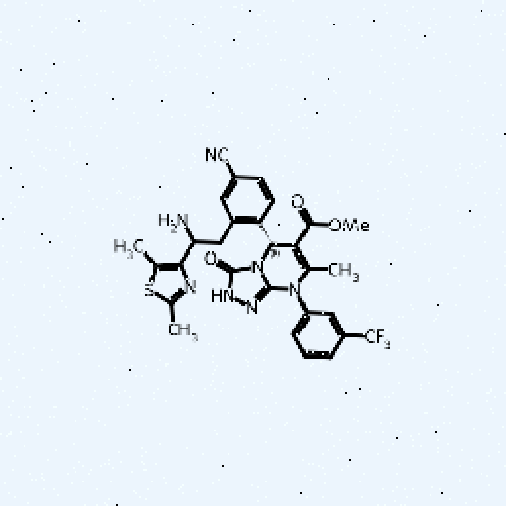 COC(=O)C1=C(C)N(c2cccc(C(F)(F)F)c2)c2n[nH]c(=O)n2[C@@H]1c1ccc(C#N)cc1CC(N)c1nc(C)sc1C